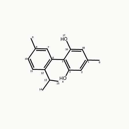 Cc1cc(O)c(-c2cc(C)ccc2C(C)C)c(O)c1